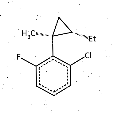 CC[C@H]1C[C@]1(C)c1c(F)cccc1Cl